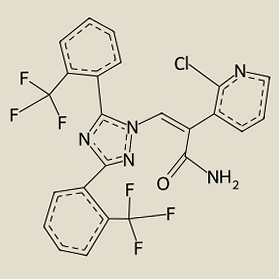 NC(=O)C(=Cn1nc(-c2ccccc2C(F)(F)F)nc1-c1ccccc1C(F)(F)F)c1cccnc1Cl